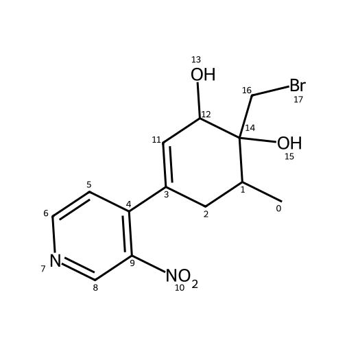 CC1CC(c2ccncc2[N+](=O)[O-])=CC(O)C1(O)CBr